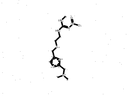 CNC(=N[N+](=O)[O-])NCCSCc1csc(CN(C)C)n1